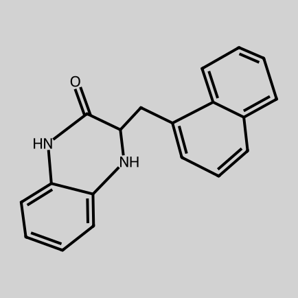 O=C1Nc2ccccc2NC1Cc1cccc2ccccc12